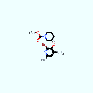 Cc1cc(C#N)nc(Br)c1O[C@H]1CCCN(C(=O)OC(C)(C)C)C1